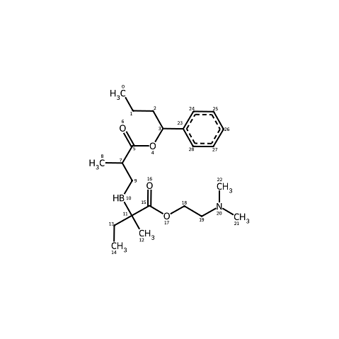 CCCC(OC(=O)C(C)CBC(C)(CC)C(=O)OCCN(C)C)c1ccccc1